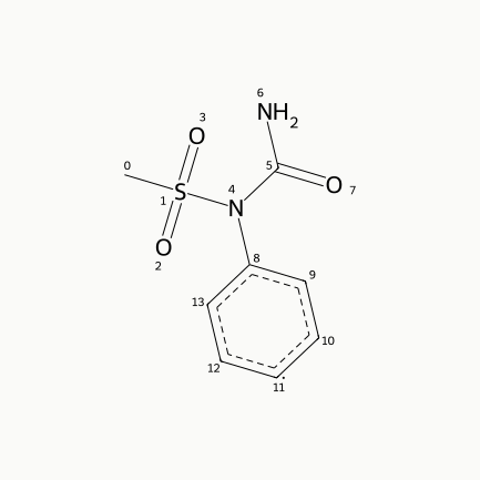 CS(=O)(=O)N(C(N)=O)c1cc[c]cc1